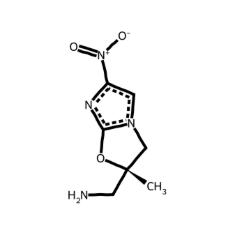 C[C@]1(CN)Cn2cc([N+](=O)[O-])nc2O1